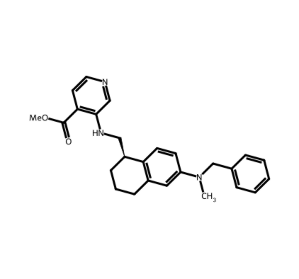 COC(=O)c1ccncc1NC[C@@H]1CCCc2cc(N(C)Cc3ccccc3)ccc21